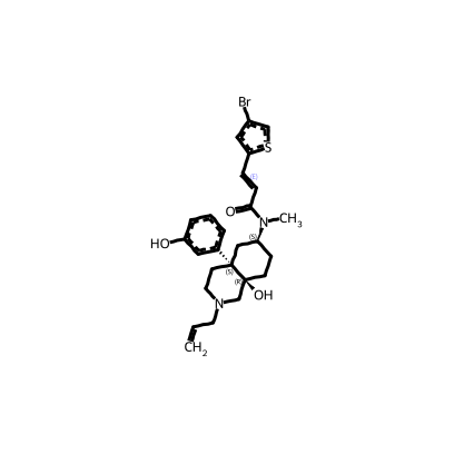 C=CCN1CC[C@@]2(c3cccc(O)c3)C[C@@H](N(C)C(=O)/C=C/c3cc(Br)cs3)CC[C@]2(O)C1